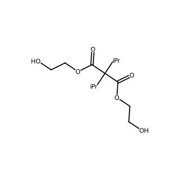 CC(C)C(C(=O)OCCO)(C(=O)OCCO)C(C)C